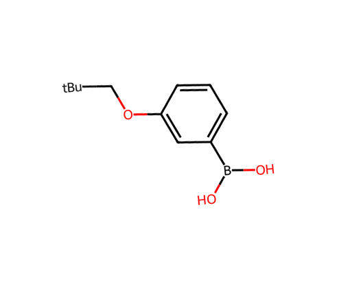 CC(C)(C)COc1cccc(B(O)O)c1